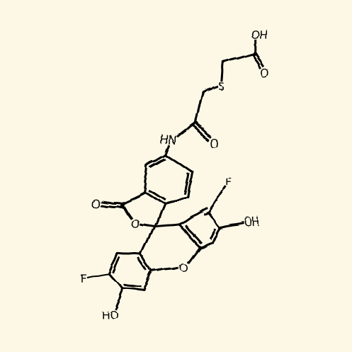 O=C(O)CSCC(=O)Nc1ccc2c(c1)C(=O)OC21c2cc(F)c(O)cc2Oc2cc(O)c(F)cc21